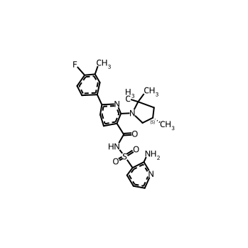 Cc1cc(-c2ccc(C(=O)NS(=O)(=O)c3cccnc3N)c(N3C[C@@H](C)CC3(C)C)n2)ccc1F